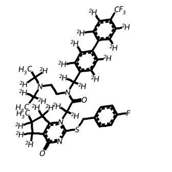 [2H]c1c([2H])c(C(F)(F)F)c([2H])c([2H])c1-c1c([2H])c([2H])c(C([2H])([2H])N(CCN(C([2H])([2H])C)C([2H])([2H])C)C(=O)C([2H])([2H])n2c(SCc3ccc(F)cc3)nc(=O)c3c2C([2H])([2H])C([2H])(C)C3([2H])[2H])c([2H])c1[2H]